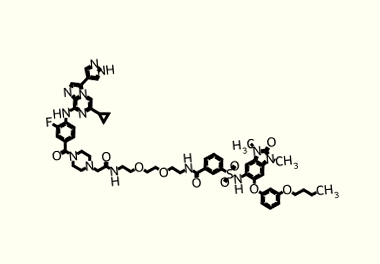 CCCCOc1cccc(Oc2cc3c(cc2NS(=O)(=O)c2cccc(C(=O)NCCOCCOCCNC(=O)CN4CCN(C(=O)c5ccc(Nc6nc(C7CC7)cn7c(-c8cn[nH]c8)cnc67)c(F)c5)CC4)c2)n(C)c(=O)n3C)c1